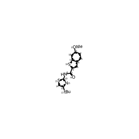 COc1ccc2cc(C(=O)Nc3nc(C(C)(C)C)cs3)sc2c1